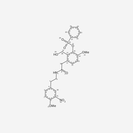 COc1ccc(CCNC(=O)Cc2ccc(OC)c(OS(=O)(=O)c3ccccc3)c2CO)cc1[N+](=O)[O-]